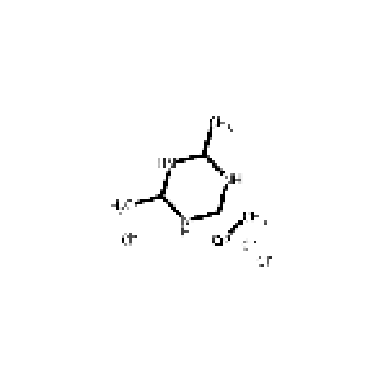 CC1NCNC(C)N1.[CH3][Cr+3].[Cl-].[Cl-].[Cl-]